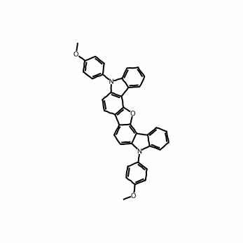 COc1ccc(-n2c3ccccc3c3c4oc5c(ccc6c5c5ccccc5n6-c5ccc(OC)cc5)c4ccc32)cc1